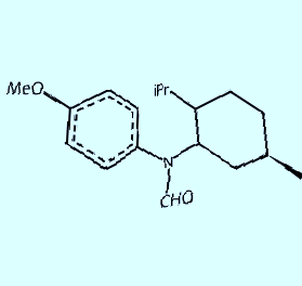 COc1ccc(N(C=O)C2C[C@H](C)CCC2C(C)C)cc1